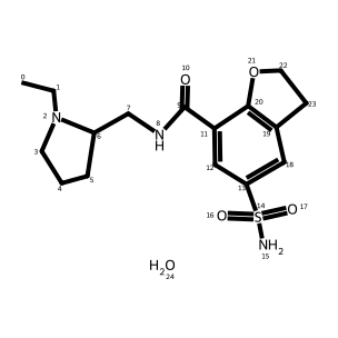 CCN1CCCC1CNC(=O)c1cc(S(N)(=O)=O)cc2c1OCC2.O